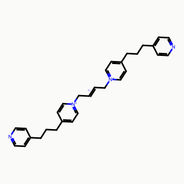 C(=C\C[n+]1ccc(CCCc2ccncc2)cc1)/C[n+]1ccc(CCCc2ccncc2)cc1